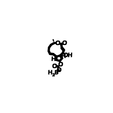 BOC(=O)O[C@@H]1C[C@H]2[C@H](O)/C=C/C(=O)O[C@@H](C)CCC/C=C/[C@@H]2C1